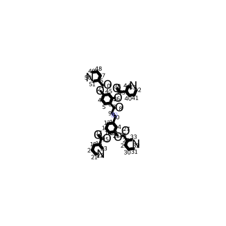 O=C(Oc1ccc(C(=O)/C=C/c2ccc(OC(=O)c3cccnc3)c(OC(=O)c3cccnc3)c2)c(OC(=O)c2cccnc2)c1)c1cccnc1